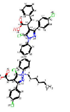 CCCCCC[N+]1(c2ccccc2)N=C(c2ccc(Cl)cc2)C(CC(=O)[O-])=C1Cl.O=C(O)C(Cc1ccccc1)c1c(-c2ccc(Cl)cc2)nn(-c2ccccc2)c1Cl